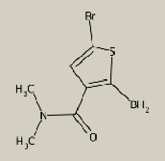 Bc1sc(Br)cc1C(=O)N(C)C